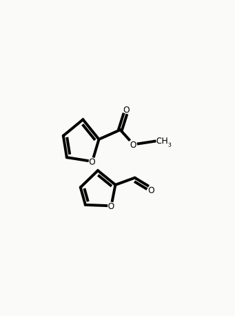 COC(=O)c1ccco1.O=Cc1ccco1